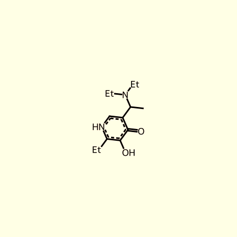 CCc1[nH]cc(C(C)N(CC)CC)c(=O)c1O